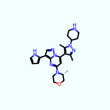 Cc1nn(C2CCNCC2)c(C)c1-c1cc(N2CCOC[C@H]2C)nc2c(-c3ccc[nH]3)cnn12